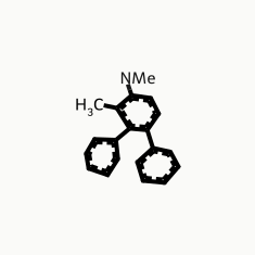 CNc1ccc(-c2ccccc2)c(-c2ccccc2)c1C